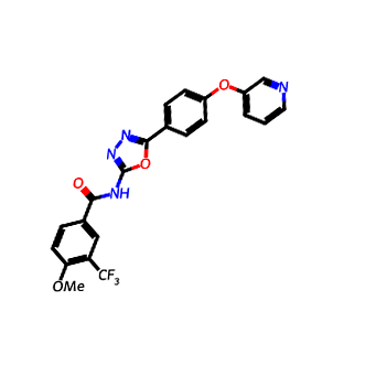 COc1ccc(C(=O)Nc2nnc(-c3ccc(Oc4cccnc4)cc3)o2)cc1C(F)(F)F